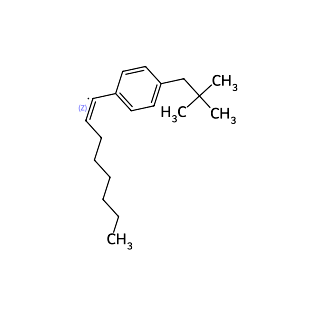 CCCCCC/C=[C]\c1ccc(CC(C)(C)C)cc1